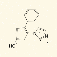 Oc1ccc(-c2ccccc2)c(-n2ccnn2)c1